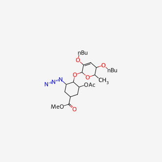 CCCCOC1=CC(OCCCC)C(C)OC1OC1C(N=[N+]=[N-])CC(C(=O)OC)CC1OC(C)=O